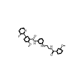 COc1cccc(C(=O)NCCNc2cccc(N[S+]([O-])c3cc(-c4ncccc4F)ccc3OC)c2)c1